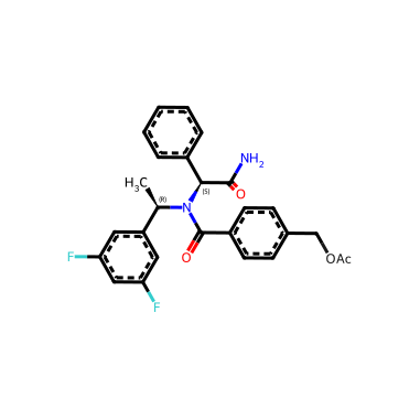 CC(=O)OCc1ccc(C(=O)N([C@H](C)c2cc(F)cc(F)c2)[C@H](C(N)=O)c2ccccc2)cc1